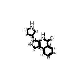 O=c1[nH]c2c(cnn2C2CCNC2)c2ccccc12